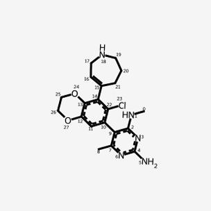 CNc1nc(N)nc(C)c1-c1cc2c(c(C3=CCNCCC3)c1Cl)OCCO2